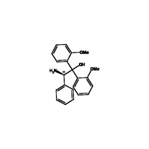 COc1ccccc1C(O)(c1ccccc1OC)[C@H](N)c1ccccc1